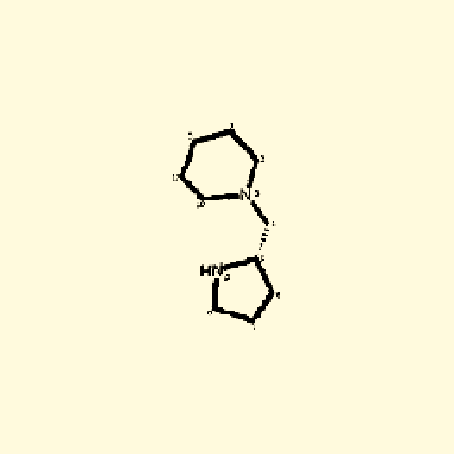 C1CCN(C[C@@H]2CCCN2)CC1